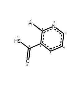 CC(C)c1ncccc1C(=O)S